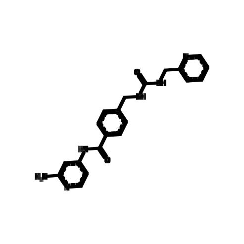 Nc1cc(NC(=O)c2ccc(CNC(=O)NCc3ccccn3)cc2)ccn1